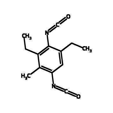 CCc1cc(N=C=O)c(C)c(CC)c1N=C=O